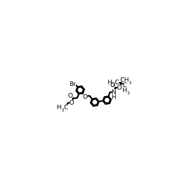 CCOC(=O)Cc1cc(Br)ccc1OCc1cccc(-c2cccc(CNC(=O)OC(C)(C)C)c2)c1